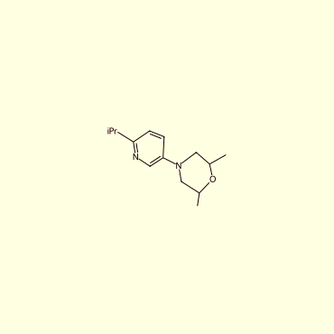 CC1CN(c2ccc(C(C)C)nc2)CC(C)O1